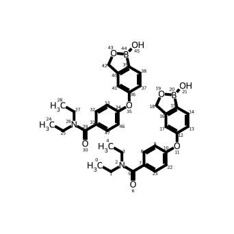 CCN(CC)C(=O)c1ccc(Oc2ccc3c(c2)COB3O)cc1.CCN(CC)C(=O)c1ccc(Oc2ccc3c(c2)COB3O)cc1